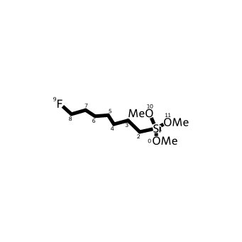 CO[Si](CCCCCCCF)(OC)OC